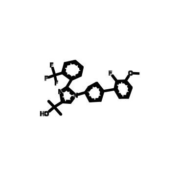 COc1cccc(-c2ccc(-n3cc(C(C)(C)O)nc3-c3ccccc3C(F)(F)F)cc2)c1F